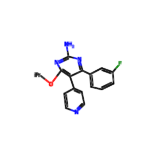 CC(C)Oc1nc(N)nc(-c2cccc(F)c2)c1-c1ccncc1